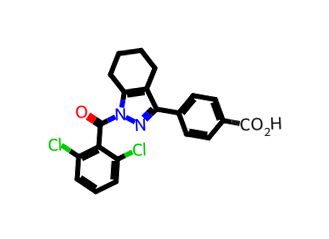 O=C(O)c1ccc(-c2nn(C(=O)c3c(Cl)cccc3Cl)c3c2CCCC3)cc1